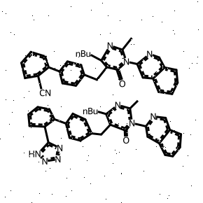 CCCCc1nc(C)n(-c2cc3ccccc3cn2)c(=O)c1Cc1ccc(-c2ccccc2-c2nnn[nH]2)cc1.CCCCc1nc(C)n(-c2cc3ccccc3cn2)c(=O)c1Cc1ccc(-c2ccccc2C#N)cc1